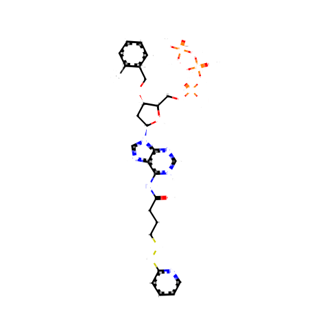 O=C(CCCSSc1ccccn1)Nc1ncnc2c1ncn2[C@H]1C[C@@H](OCc2ccccc2[N+](=O)[O-])C(COP(=O)(O)OP(=O)(O)OP(=O)(O)O)O1